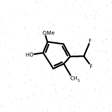 COc1cc(C(F)F)c(C)cc1O